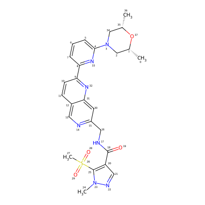 C[C@@H]1CN(c2cccc(-c3ccc4cnc(CNC(=O)c5cnn(C)c5S(C)(=O)=O)cc4n3)n2)C[C@H](C)O1